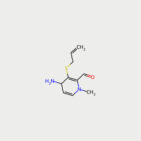 C=CCSC1=C(C=O)N(C)C=CC1N